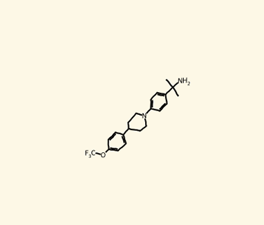 CC(C)(N)c1ccc(N2CCC(c3ccc(OC(F)(F)F)cc3)CC2)cc1